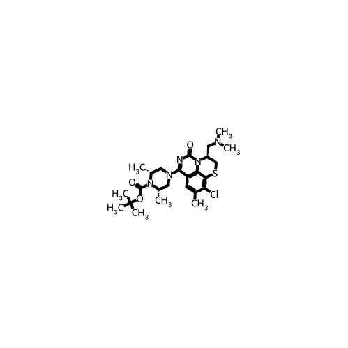 Cc1cc2c(N3C[C@@H](C)N(C(=O)OC(C)(C)C)[C@@H](C)C3)nc(=O)n3c2c(c1Cl)SC[C@@H]3CN(C)C